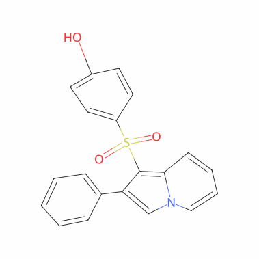 O=S(=O)(c1ccc(O)cc1)c1c(-c2ccccc2)cn2ccccc12